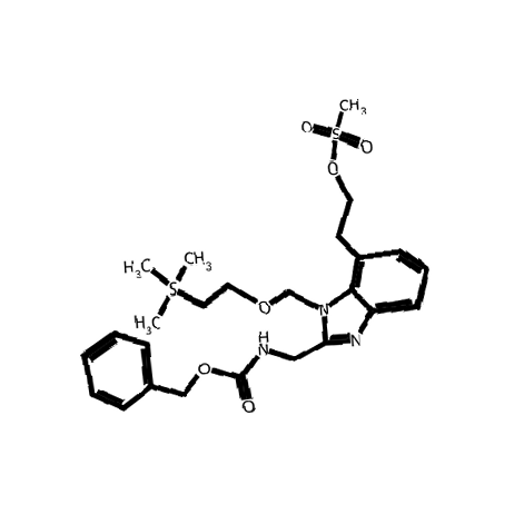 CS(C)(C)CCOCn1c(CNC(=O)OCc2ccccc2)nc2cccc(CCOS(C)(=O)=O)c21